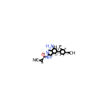 C#Cc1ccc(-c2cc(N)c3cnc(NC(=O)[C@H]4CC4C#N)cc3c2)c(C)c1